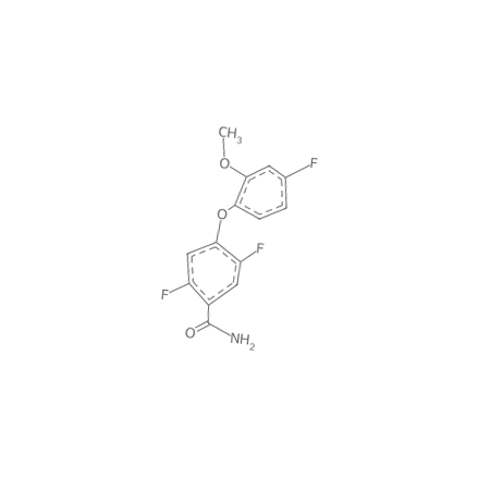 COc1cc(F)ccc1Oc1cc(F)c(C(N)=O)cc1F